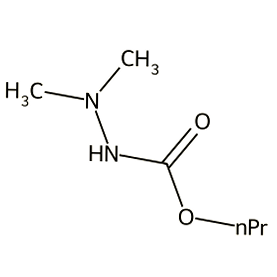 CCCOC(=O)NN(C)C